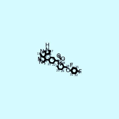 O=[SH](=O)C(C1CCC(c2cnnc3cnc4[nH]ccc4c23)CC1)N1CCCC(COc2ccc(F)cc2F)C1